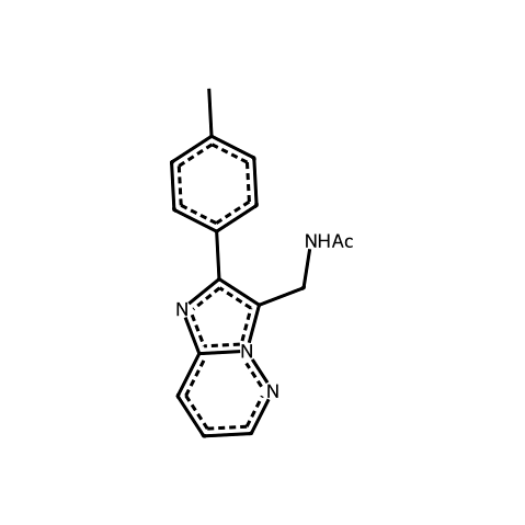 CC(=O)NCc1c(-c2ccc(C)cc2)nc2cccnn12